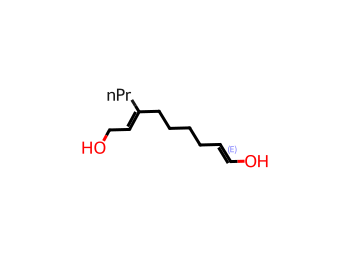 CCCC(=CCO)CCCC/C=C/O